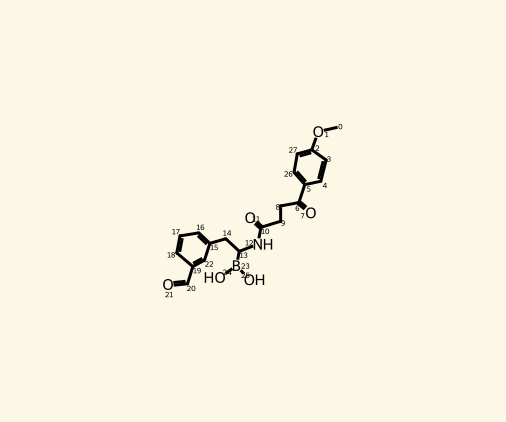 COc1ccc(C(=O)CCC(=O)NC(Cc2cccc(C=O)c2)B(O)O)cc1